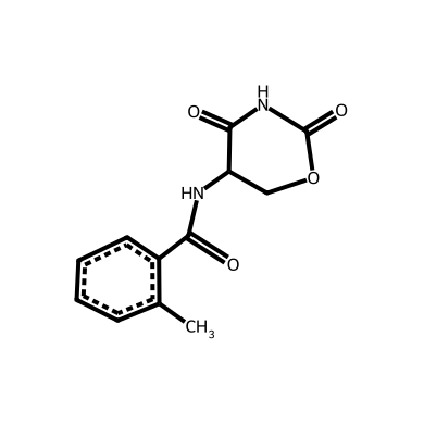 Cc1ccccc1C(=O)NC1COC(=O)NC1=O